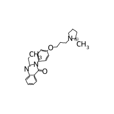 CCc1nc2ccccc2c(=O)n1-c1ccc(OCCCN2CCC[C@@H]2C)cc1